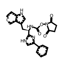 O=C(N[C@H](Cc1c[nH]c2ccccc12)c1nc(-c2ccccc2)c[nH]1)ON1C(=O)CCC1=O